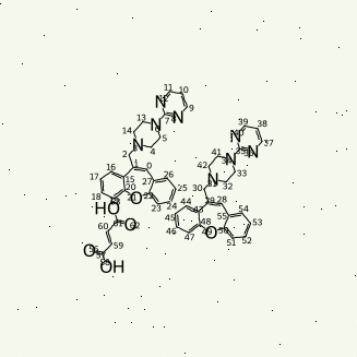 C1=C(CN2CCN(c3ncccn3)CC2)c2ccccc2Oc2ccccc21.C1=C(CN2CCN(c3ncccn3)CC2)c2ccccc2Oc2ccccc21.O=C(O)C=CC(=O)O